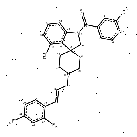 O=C(c1ccnc(Cl)c1)N1CC2(CCN(C/C=C/c3ccc(F)cc3F)CC2)c2c(Cl)cccc21